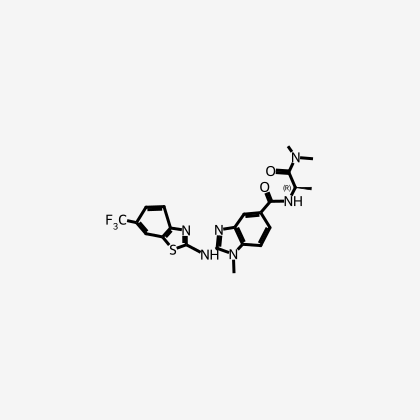 C[C@@H](NC(=O)c1ccc2c(c1)nc(Nc1nc3ccc(C(F)(F)F)cc3s1)n2C)C(=O)N(C)C